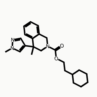 Cn1cc(C2(C)CN(C(=O)OCCC3CCCCC3)Cc3ccccc32)cn1